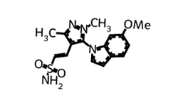 COc1ccc2ccn(-c3c(C=CS(N)(=O)=O)c(C)nn3C)c2c1